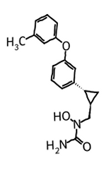 Cc1cccc(Oc2cccc([C@@H]3C[C@H]3CN(O)C(N)=O)c2)c1